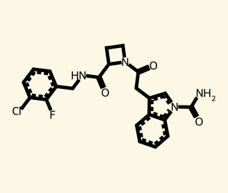 NC(=O)n1cc(CC(=O)N2CCC2C(=O)NCc2cccc(Cl)c2F)c2ccccc21